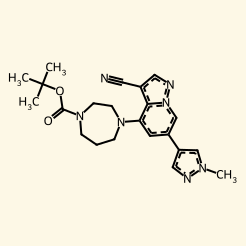 Cn1cc(-c2cc(N3CCCN(C(=O)OC(C)(C)C)CC3)c3c(C#N)cnn3c2)cn1